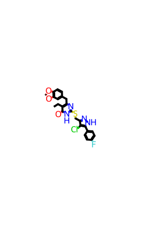 CCc1c(Cc2ccc3c(c2)OCO3)nc(SCc2n[nH]c(-c3ccc(F)cc3)c2Cl)[nH]c1=O